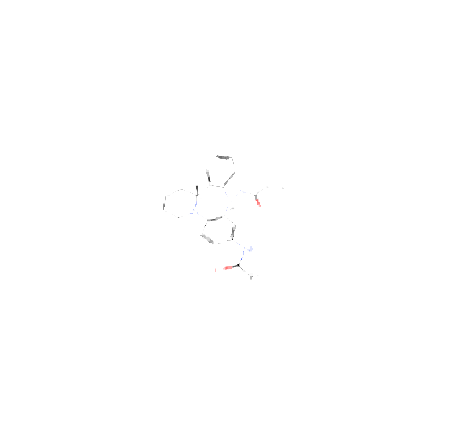 CC(C)C(=O)Nc1ccc2c(c1)[N@+](C)(NC(=O)C(F)(F)F)c1ccccc1[C@H]1CCCCN21